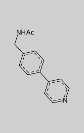 CC(=O)NCc1ccc(-c2ccncc2)cc1